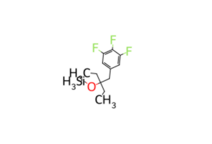 CCC(CC)(Cc1cc(F)c(F)c(F)c1)O[SiH3]